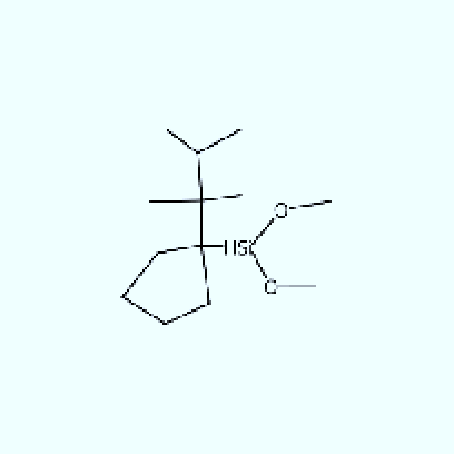 CO[SiH](OC)C1(C(C)(C)C(C)C)CCCC1